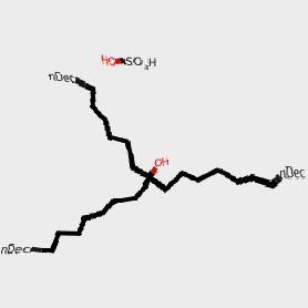 CCCCCCCCCCCCCCCCCC(O)(CCCCCCCCCCCCCCCC)CCCCCCCCCCCCCCCCC.O=S(=O)(O)O